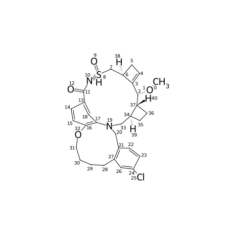 CO[C@H]1C2=CC[C@@H]2C/[SH](=O)=N\C(=O)c2ccc3c(c2)N(Cc2ccc(Cl)cc2CCCCO3)C[C@@H]2CC[C@H]21